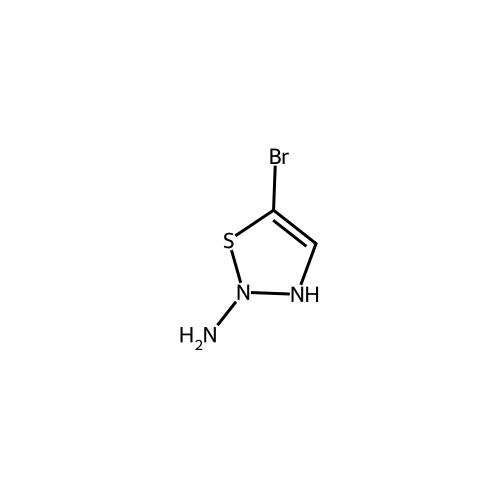 NN1NC=C(Br)S1